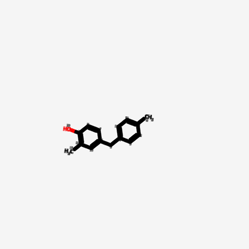 Cc1ccc(Cc2ccc(O)c(C)c2)cc1